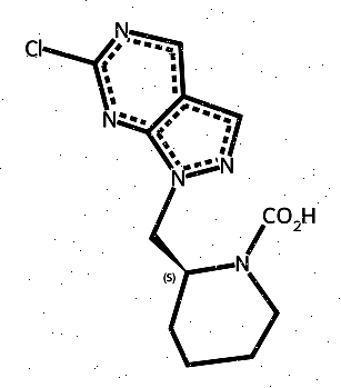 O=C(O)N1CCCC[C@H]1Cn1ncc2cnc(Cl)nc21